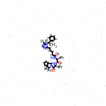 CC(=O)C1[C@H]2CCCC2CN1C(=O)[C@@H](NC(=O)[C@@H](NC(=O)CCCCc1nnnn1C(C)(C)c1ccccc1)C(C)C)C(C)C